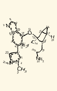 Cn1cc(-c2cn3nccc3c(O[C@@]3(C)C4C[C@H]4[C@H]3CCN)n2)cn1